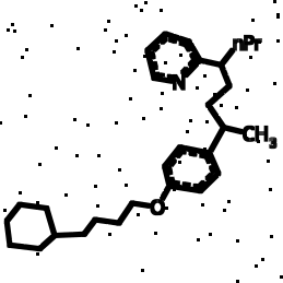 CCCC(CCC(C)c1ccc(OCCCCC2CCCCC2)cc1)c1ccccn1